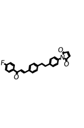 O=C(C=Cc1ccc(CCc2ccc(N3C(=O)C=CC3=O)cc2)cc1)c1ccc(F)cc1